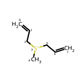 C=CC[S+](C)CC=C